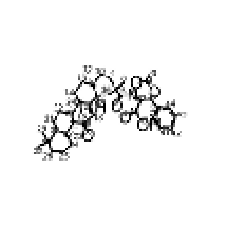 CC(=O)ON(C(=O)C1(C)CC[C@]2(C)CC[C@]3(C)C(=CC(=O)C4[C@@]5(C)CCCC(C)(C)C5CC[C@]43C)[C@@H]2C1)[C@@H](Cc1ccccc1)C(=O)O